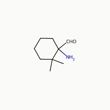 CC1(C)CCCCC1(N)C=O